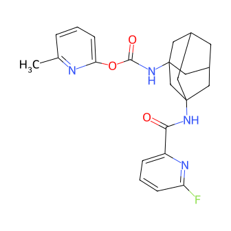 Cc1cccc(OC(=O)NC23CC4CC(C2)CC(NC(=O)c2cccc(F)n2)(C4)C3)n1